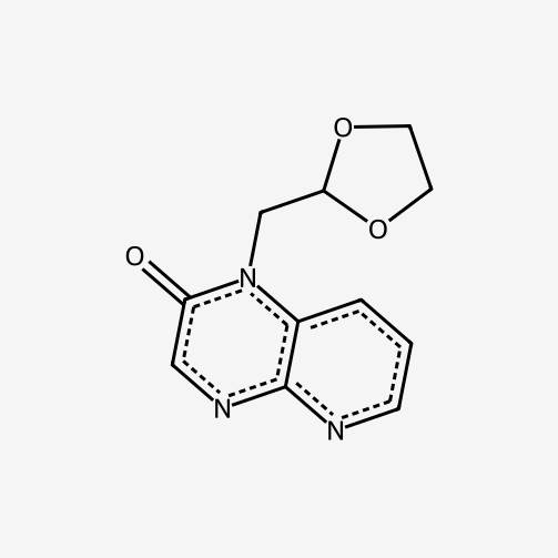 O=c1cnc2ncccc2n1CC1OCCO1